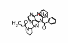 C=CC(=O)N1CCCC1c1nc(N(C(=O)c2ccccc2)c2ccccn2)c2c(N)nccn12